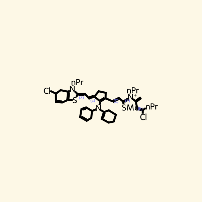 C=C(/C=C(/Cl)CCC)/[N+](CCC)=C(/C=C/C1=C(N(C2=CCCCC2)C2C=CC=CC2)C(=C/C=C2\SC3=C(CC(Cl)C=C3)N2CCC)/CC1)SC